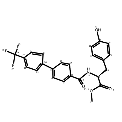 COC(=O)[C@H](Cc1ccc(O)cc1)NC(=O)c1ccc(-c2ccc(C(F)(F)F)cc2)cc1